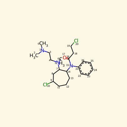 CN(C)CCN(C)C1CC(Cl)CCCC1N(C(=O)CCCl)c1ccccc1